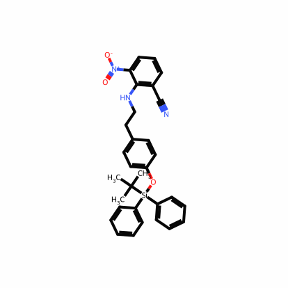 CC(C)(C)[Si](Oc1ccc(CCNc2c(C#N)cccc2[N+](=O)[O-])cc1)(c1ccccc1)c1ccccc1